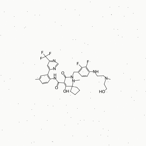 Cc1ccc(NC(=O)C2=C(O)C3(CCCC3)N(C)N(Cc3ccc(NCCN(C)CCO)c(F)c3F)C2=O)c(-c2cc(C(F)(F)F)ncn2)c1